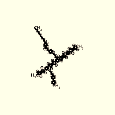 CCCCCCCCCCCCOc1ccc(C(=O)/C=C/c2ccc(OCCCOc3cc(N4C(=O)C5C(C4=O)C4C(=O)N(c6ccc(N7C(=O)C8C9C(=O)N(C)C(=O)C9C8C7=O)cc6OCCCOc6ccc(-c7ccc(C)cc7)cc6)C(=O)C54)ccc3N3C(=O)C4C5C(=O)N(c6ccc(N7C(=O)C8C9C(=O)N(C)C(=O)C9C8C7=O)cc6)C(=O)C5C4C3=O)cc2)cc1